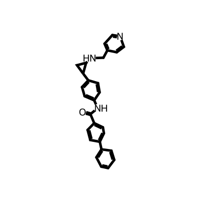 O=C(Nc1ccc(C2CC2NCc2ccncc2)cc1)c1ccc(-c2ccccc2)cc1